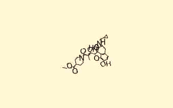 CCOC(=O)C1CCN(C(=O)/C(C)=C(\O)[C@@H]2Oc3c(O)ccc4c3[C@@]23CCN(CC2CC2)[C@H](C4)[C@@]3(C)O)CC1